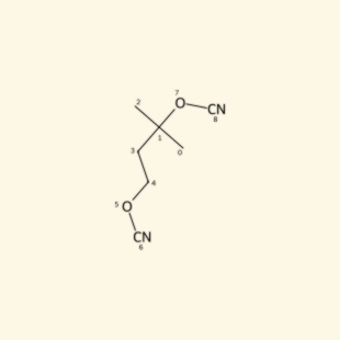 CC(C)(CCOC#N)OC#N